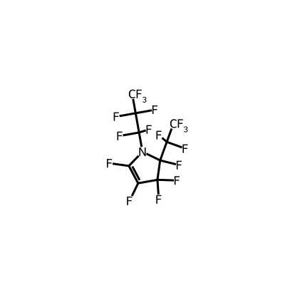 FC1=C(F)C(F)(F)C(F)(C(F)(F)C(F)(F)F)N1C(F)(F)C(F)(F)C(F)(F)F